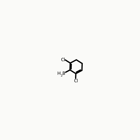 BC1=C(Cl)CCC=C1Cl